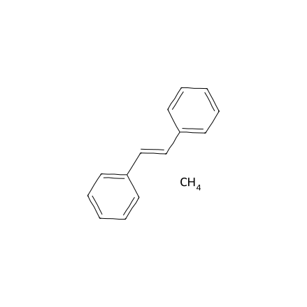 C.C(=Cc1ccccc1)c1ccccc1